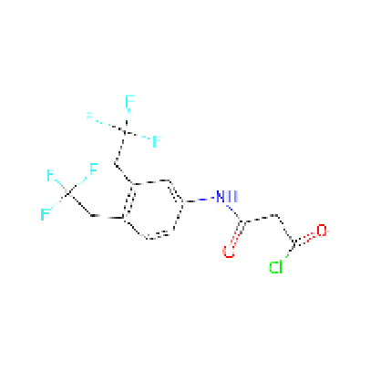 O=C(Cl)CC(=O)Nc1ccc(CC(F)(F)F)c(CC(F)(F)F)c1